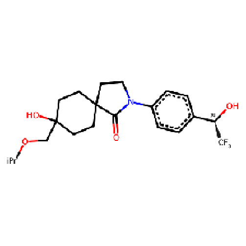 CC(C)OCC1(O)CCC2(CCN(c3ccc([C@@H](O)C(F)(F)F)cc3)C2=O)CC1